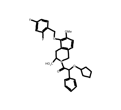 COc1ccc2c(c1OCc1ccc(F)cc1F)CC(C(=O)O)N(C(=O)C(OC1CCCC1)c1ccccc1)C2